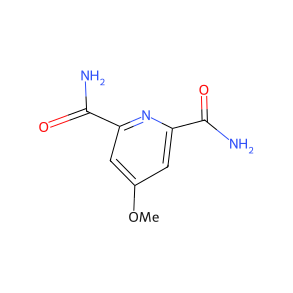 COc1cc(C(N)=O)nc(C(N)=O)c1